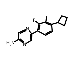 Nc1cnc(-c2ccc(C3CCC3)c(I)c2F)cn1